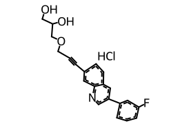 Cl.OCC(O)COCC#Cc1ccc2cc(-c3cccc(F)c3)cnc2c1